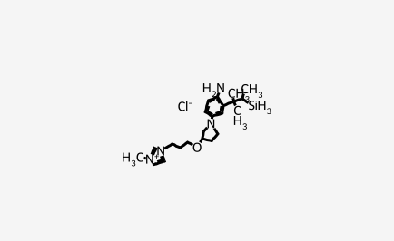 CC([SiH3])C(C)(C)c1cc(N2CCC(OCCCn3cc[n+](C)c3)C2)ccc1N.[Cl-]